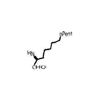 [CH2]CCCCCCCCCC(=N)[C]=O